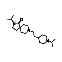 CC(C)N1CCC(CCN2CCC3(CC2)CCN(C(C)C)C3=O)CC1